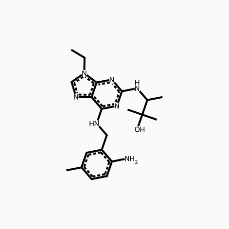 CCn1cnc2c(NCc3cc(C)ccc3N)nc(NC(C)C(C)(C)O)nc21